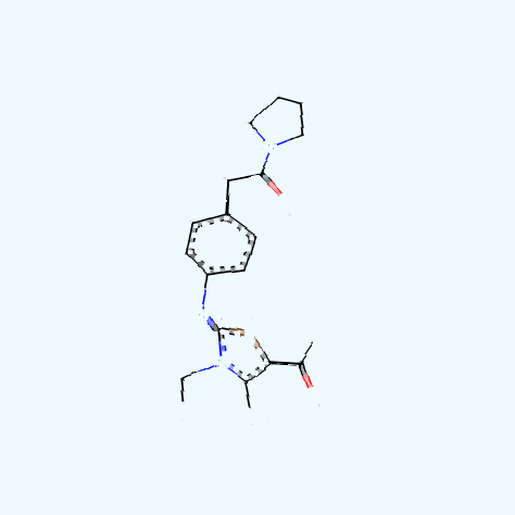 CCn1c(C)c(C(C)=O)s/c1=N\c1ccc(CC(=O)N2CCCC2)cc1